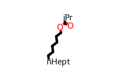 CCCCCCCCCCCCCOC(=O)C(C)C